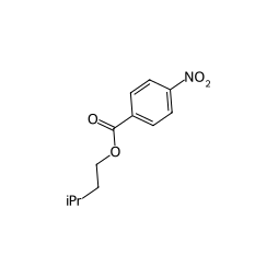 CC(C)CCOC(=O)c1ccc([N+](=O)[O-])cc1